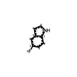 Fc1[c]c2cc[nH]c2cc1